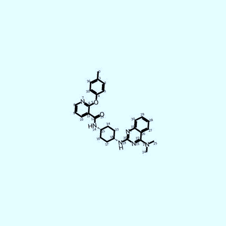 Cc1ccc(Oc2ncccc2C(=O)N[C@H]2CC[C@@H](Nc3nc(N(C)C)c4ccccc4n3)CC2)cc1